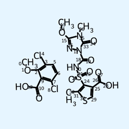 COc1c(Cl)ccc(Cl)c1C(=O)O.COc1nn(C(=O)NS(=O)(=O)c2c(C(=O)O)csc2C)c(=O)n1C